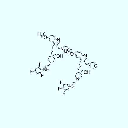 COc1ccc2ncc(CN3CCOCC3)c(CCCC3(CO)CCN(CCNc4c(F)cc(F)cc4F)CC3)c2c1.COc1ccc2ncc(CN3CCOCC3)c(CCCC3(CO)CCN(CCSc4cc(F)c(F)c(F)c4)CC3)c2c1